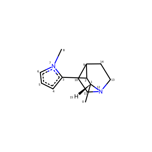 C[C@@H]1C(c2cccn2C)C2CCN1CC2